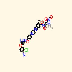 Cc1cc2c(cc1C(=O)N(C=O)C(C)CCC(=O)NC=O)CN(C1CCN(c3ccc(C(=O)NC45CCC(Oc6ccc(C#N)c(Cl)c6)(CC4)CC5)cc3)CC1)C2